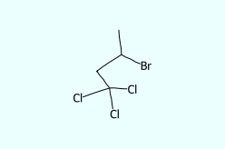 CC(Br)CC(Cl)(Cl)Cl